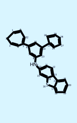 C1=CCC=CC(c2cc(Nc3ccc4c(c3)sc3ccccc34)cc(-c3ccccc3)c2)=C1